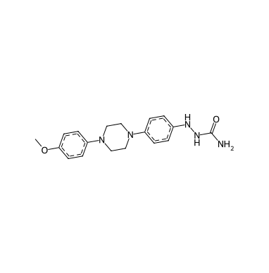 COc1ccc(N2CCN(c3ccc(NNC(N)=O)cc3)CC2)cc1